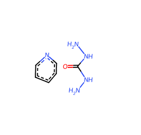 NNC(=O)NN.c1ccncc1